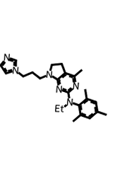 CCN(c1nc(C)c2c(n1)N(CCCn1ccnc1)CC2)c1c(C)cc(C)cc1C